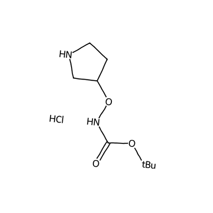 CC(C)(C)OC(=O)NOC1CCNC1.Cl